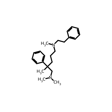 CN(C)CC(C)(CCCN(C)CCc1ccccc1)c1ccccc1